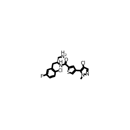 Cn1ncc(Cl)c1-c1csc(C(=O)N[C@H](CN)Cc2cc(F)ccc2Cl)c1